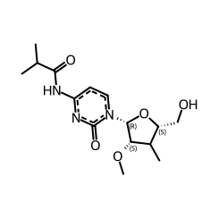 CO[C@H]1C(C)[C@@H](CO)O[C@H]1n1ccc(NC(=O)C(C)C)nc1=O